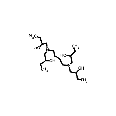 CCC(O)CN(CCCCN(CC(O)CC)CC(O)CC)CC(O)CC